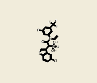 C=CN(C(=O)C(c1csc2ccc(Cl)cc12)P(=O)(O)O)c1cc(F)cc(C(F)(F)F)c1